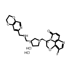 Cl.Cl.O=c1ccc2ncc(F)c3c2n1[C@H](CN1CC[C@@H](CNCc2cc4c(cn2)OCCO4)C1)CO3